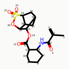 C=C(C)C(=O)NC1CCCCC1C(=O)OC1C2CC3C1OS(=O)(=O)C3C2